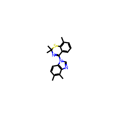 Cc1cccc2c1SC(C)(C)N=C2n1cnc2c(C)c(C)ccc21